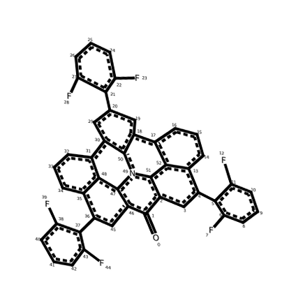 O=c1c2cc(-c3c(F)cccc3F)c3cccc4c5cc(-c6c(F)cccc6F)cc6c7cccc8c(-c9c(F)cccc9F)cc1c(c87)n(c56)c2c34